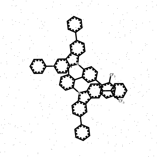 N#Cc1cccc(-n2c3ccc(-c4ccccc4)cc3c3cc(-c4ccccc4)ccc32)c1-c1cc(-c2ccc(C(F)(F)F)cc2C(F)(F)F)ccc1-n1c2ccc(-c3ccccc3)cc2c2cc(-c3ccccc3)ccc21